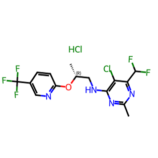 Cc1nc(NC[C@@H](C)Oc2ccc(C(F)(F)F)cn2)c(Cl)c(C(F)F)n1.Cl